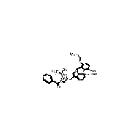 CCCCc1ccc(OCOC)c(Cn2cc(C[C@@H](COC(=O)c3ccccc3)O[Si](C)(C)C(C)(C)C)c3ccccc32)c1OCOC